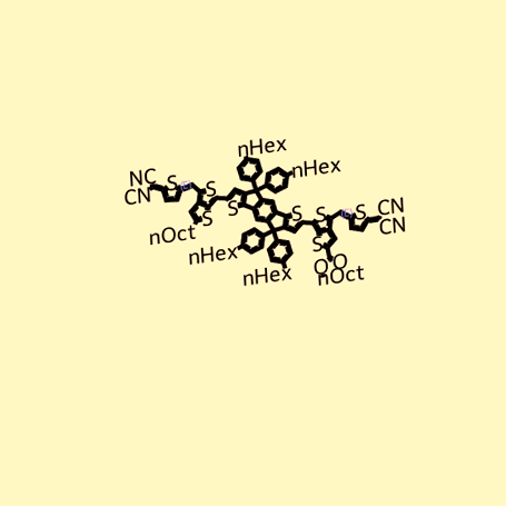 [C-]#[N+]C([N+]#[C-])=c1cc/c(=C\c2sc(-c3cc4c(s3)-c3cc5c(cc3C4(c3ccc(CCCCCC)cc3)c3ccc(CCCCCC)cc3)-c3sc(-c4sc(/C=c6\ccc(=C(C#N)C#N)s6)c6cc(C(=O)OCCCCCCCC)sc46)cc3C5(c3ccc(CCCCCC)cc3)c3ccc(CCCCCC)cc3)c3sc(CCCCCCCC)cc23)s1